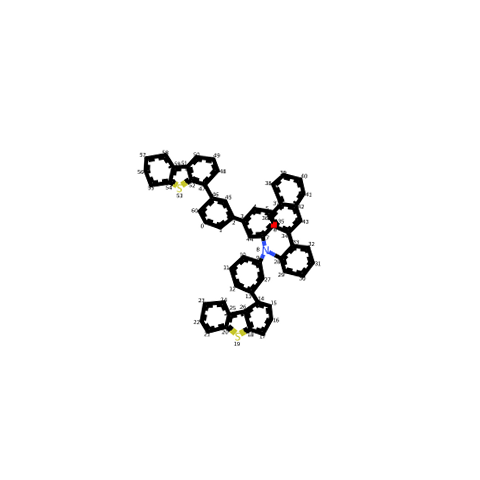 c1cc(-c2cccc(N(c3cccc(-c4cccc5sc6ccccc6c45)c3)c3ccccc3-c3ccc4ccccc4c3)c2)cc(-c2cccc3c2sc2ccccc23)c1